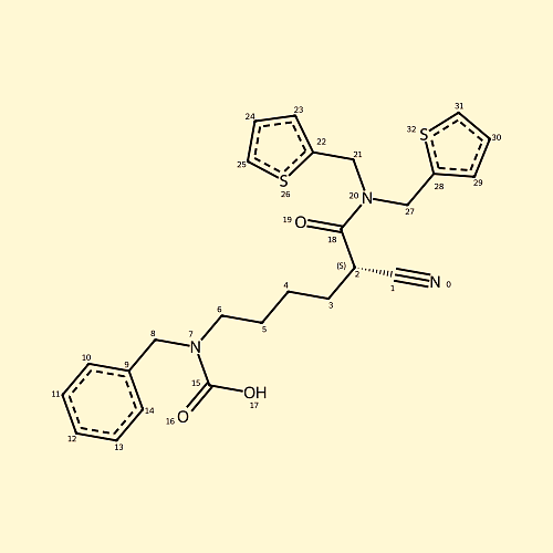 N#C[C@H](CCCCN(Cc1ccccc1)C(=O)O)C(=O)N(Cc1cccs1)Cc1cccs1